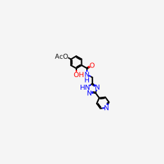 CC(=O)Oc1ccc(C(=O)NCc2nc(-c3ccncc3)n[nH]2)c(O)c1